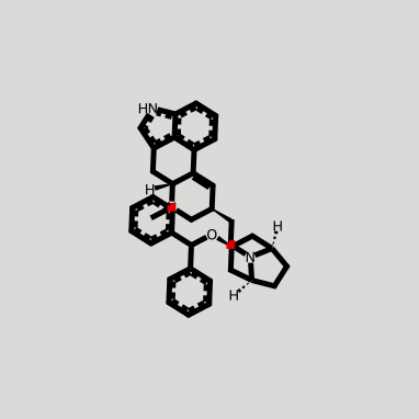 CN1C[C@H](CCN2[C@@H]3CC[C@H]2C[C@@H](OC(c2ccccc2)c2ccccc2)C3)C=C2c3cccc4[nH]cc(c34)C[C@H]21